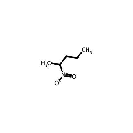 CCC[C](C)[N+](=O)[O-]